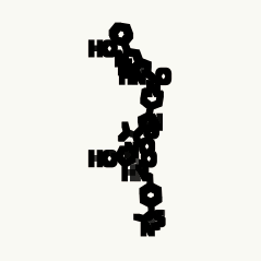 Cc1ncsc1-c1ccc(CNC(=O)[C@@H]2C[C@@H](O)CN2C(=O)[C@H](c2cc(C3CCN(C(=O)c4cc5cc(-c6ccccc6O)nnc5[nH]4)CC3)no2)C(C)C)cc1